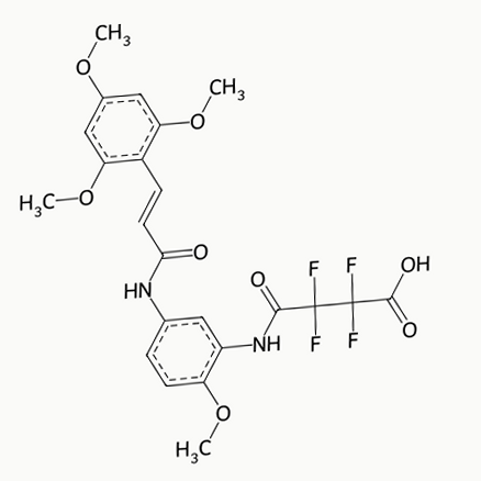 COc1cc(OC)c(C=CC(=O)Nc2ccc(OC)c(NC(=O)C(F)(F)C(F)(F)C(=O)O)c2)c(OC)c1